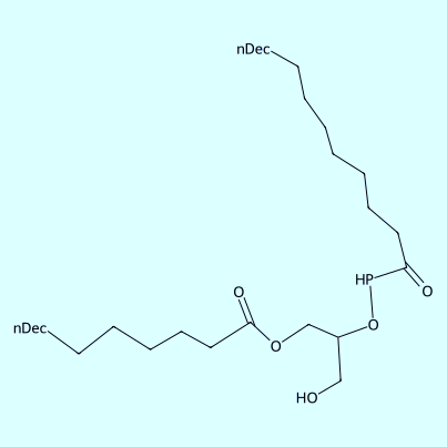 CCCCCCCCCCCCCCCCCC(=O)POC(CO)COC(=O)CCCCCCCCCCCCCCC